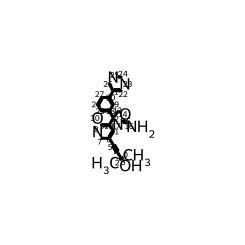 CC(C)(O)C#Cc1cnc2c(c1)C1(COC(N)=N1)c1cc(-c3cncnc3)ccc1O2